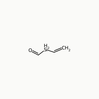 C=C[SiH2]C=O